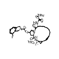 CC(C)(C)OC(=O)N[C@@H]1CCCCC/C=C\C2CC2(C(=O)O)NC(=O)C2CC(OC(=O)N3Cc4cccc(F)c4C3)CN2C1=O